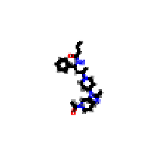 CCCC(=O)N[C@@H](CC(C)N1CCC(n2c(C)nc3c2CN(C(C)=O)CC3)CC1)c1ccccc1